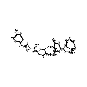 O=C(NC1CCC(Nc2cc(-c3c[nH]c4ncccc34)cc(=O)[nH]2)CC1)C1CN(Cc2ccc(F)cc2)C1